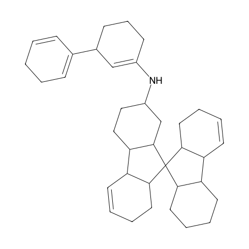 C1=CC(C2C=C(NC3CCC4C5C=CCCC5C5(C6CCC=CC6C6CCCCC65)C4C3)CCC2)=CCC1